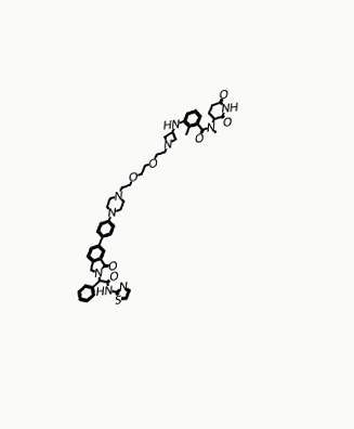 Cc1c(NC2CN(CCOCCOCCN3CCN(c4ccc(-c5ccc6c(c5)C(=O)N(C(C(=O)Nc5nccs5)c5ccccc5)C6)cc4)CC3)C2)cccc1C(=O)N(C)C1CCC(=O)NC1=O